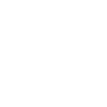 C[Si](C)(C)CCOCOCc1cccc(O)n1